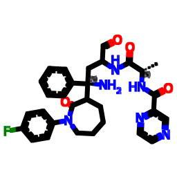 C[C@H](NC(=O)c1cnccn1)C(=O)NC(C=O)C[C@@](N)(c1ccccc1)C1CCCCN(c2ccc(F)cc2)C1=O